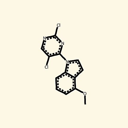 COc1cccc2c1ccn2-c1nc(Cl)ncc1Cl